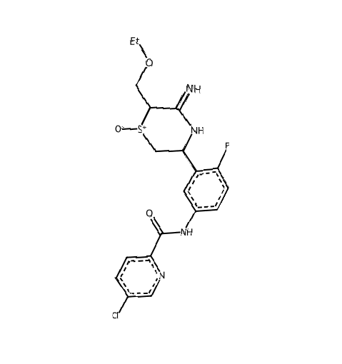 CCOCC1C(=N)NC(c2cc(NC(=O)c3ccc(Cl)cn3)ccc2F)C[S+]1[O-]